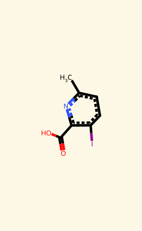 Cc1ccc(I)c(C(=O)O)n1